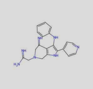 N=C(N)CN1CC(=N)c2c([nH]c(-c3ccncc3)c2Nc2ccccc2)C1